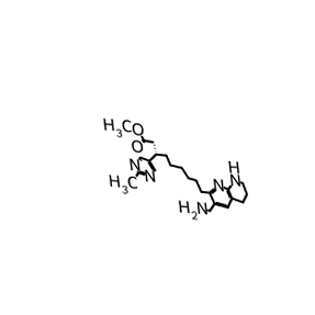 COC(=O)C[C@H](CCCCCCc1nc2c(cc1CN)CCCN2)c1cnc(C)nc1